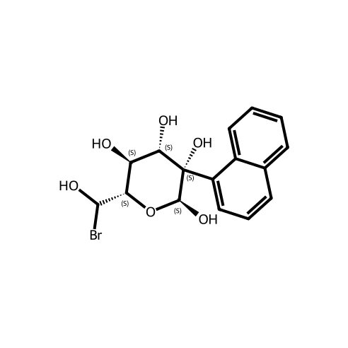 OC(Br)[C@H]1O[C@H](O)[C@](O)(c2cccc3ccccc23)[C@@H](O)[C@@H]1O